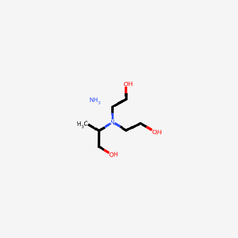 CC(CO)N(CCO)CCO.N